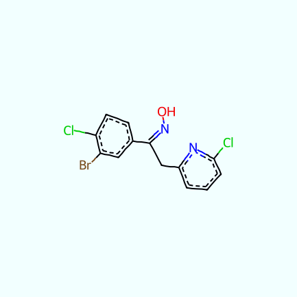 ON=C(Cc1cccc(Cl)n1)c1ccc(Cl)c(Br)c1